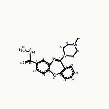 CN1CCN(C2=Nc3cc(C(=O)NO)ccc3Oc3ccccc32)CC1